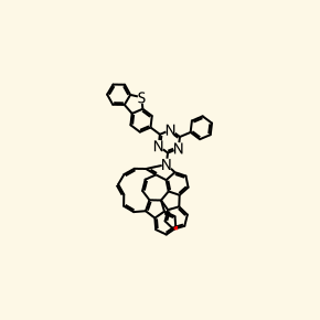 C1=Cc2c3n(-c4nc(-c5ccccc5)nc(-c5ccc6c(c5)sc5ccccc56)n4)c4ccc5c(c24)C2(C1=C(\C=C/C=C/C=C\3)c1ccccc12)c1ccccc1-5